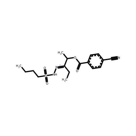 CCCCS(=O)(=O)N/N=C(\CC)C(C)OC(=O)c1ccc(C#N)cc1